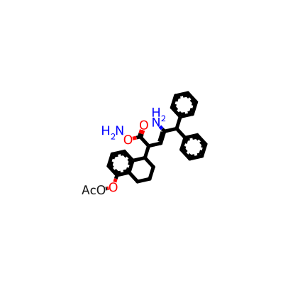 CC(=O)OOc1cccc2c1CCCC2C(C=C(N)C(c1ccccc1)c1ccccc1)C(=O)ON